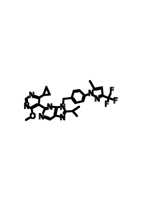 COc1ncnc(C2CC2)c1-c1ncc2nc(C(C)C)n(Cc3ccc(-n4nc(C(F)(F)F)cc4C)cc3)c2n1